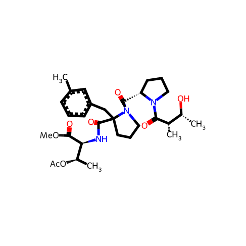 COC(=O)[C@@H](NC(=O)C1(Cc2cccc(C)c2)CCCN1C(=O)[C@@H]1CCCN1C(=O)[C@@H](C)[C@@H](C)O)[C@@H](C)OC(C)=O